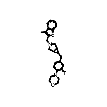 Cc1c(CN2CC3C([CH]c4ccc(N5CCOCC5)c(F)c4)C3C2)sc2ccccc12